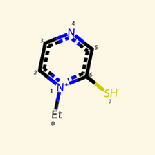 CC[n+]1ccncc1S